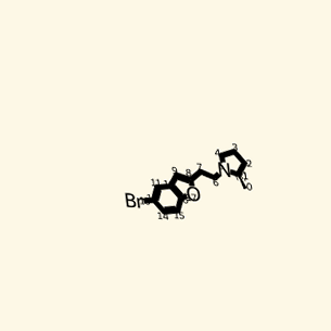 C[C@@H]1CCCN1CCc1cc2cc(Br)ccc2o1